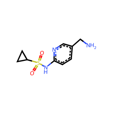 NCc1ccc(NS(=O)(=O)C2CC2)nc1